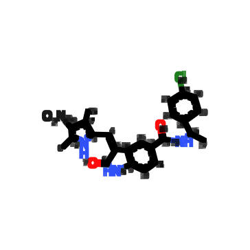 Cc1[nH]c(/C=C2\C(=O)Nc3ccc(C(=O)NC(C)c4ccc(Cl)cc4)cc32)c(C)c1[N+](=O)[O-]